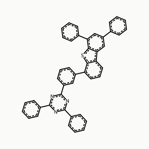 c1ccc(-c2cc(-c3ccccc3)c3sc4c(-c5cccc(-c6nc(-c7ccccc7)nc(-c7ccccc7)n6)c5)cccc4c3c2)cc1